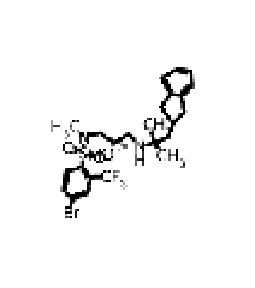 CN(C[C@H](O)CNC(C)(C)CC1Cc2ccccc2C1)S(=O)(=O)c1ccc(Br)cc1C(F)(F)F